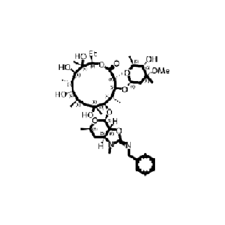 CC[C@H]1OC(=O)[C@H](C)[C@@H](O[C@H]2C[C@@](C)(OC)[C@@H](O)[C@H](C)O2)[C@H](C)[C@@H](O[C@@H]2O[C@H](C)C[C@H]3[C@H]2OC(=NCc2ccccc2)N3C)[C@](C)(O)C[C@@H](C)[C@H](O)[C@H](C)[C@@H](O)[C@]1(C)O